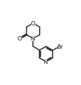 O=C1COCCN1Cc1cncc(Br)c1